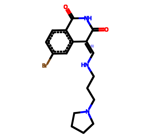 O=C1NC(=O)c2ccc(Br)cc2/C1=C\NCCCN1CCCC1